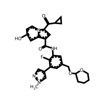 Cn1cc(-c2cc(COC3CCCCO3)cc(NC(=O)c3cc(C(=O)C4CC4)n4ccc(O)cc34)c2F)cn1